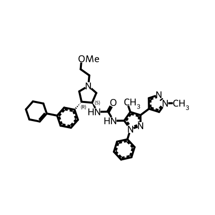 COCCN1C[C@@H](NC(=O)Nc2c(C)c(-c3cnn(C)c3)nn2-c2ccccc2)[C@H](c2cccc(C3=CCCCC3)c2)C1